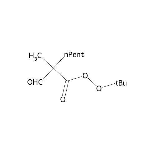 CCCCCC(C)(C=O)C(=O)OOC(C)(C)C